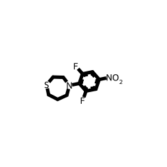 O=[N+]([O-])c1cc(F)c(N2CCCSCC2)c(F)c1